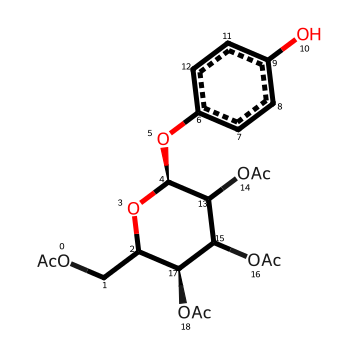 CC(=O)OCC1O[C@@H](Oc2ccc(O)cc2)C(OC(C)=O)C(OC(C)=O)[C@H]1OC(C)=O